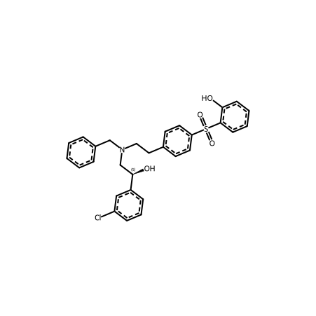 O=S(=O)(c1ccc(CCN(Cc2ccccc2)C[C@@H](O)c2cccc(Cl)c2)cc1)c1ccccc1O